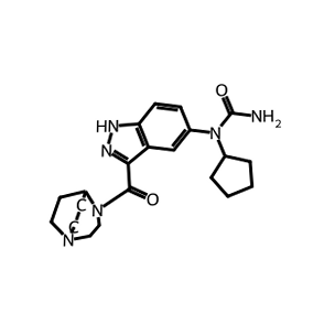 NC(=O)N(c1ccc2[nH]nc(C(=O)N3CCN4CCC3CC4)c2c1)C1CCCC1